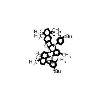 Cc1cc2c3c(c1)N(c1ccc(C(C)(C)C)cc1)C1C4=C(CC5C(=C4)C(C)(C)CCC5(C)C)OC1B3c1ccc3c4c1N2c1c(C)cc(C(C)(C)C)cc1C4(C)CCC3(C)C